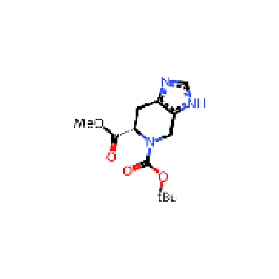 COC(=O)[C@@H]1Cc2nc[nH]c2CN1C(=O)OC(C)(C)C